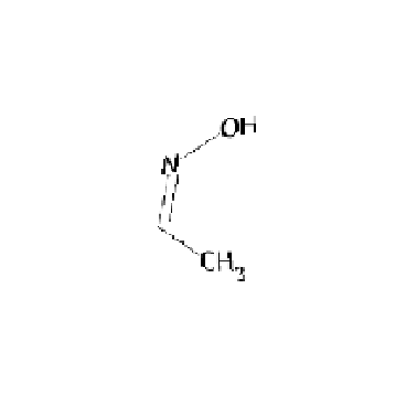 C/C=N\O